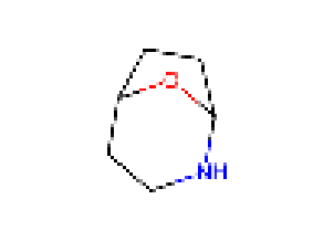 C1CC2CCC(N1)O2